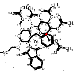 CCO[C@@H]1O[C@H](COC(C)=O)[C@@H](O[C@@H]2O[C@H](COC(C)=O)[C@H](OC(C)=O)[C@H](OC(C)=O)[C@H]2OC(C)=O)[C@@](O)(Cc2ccccc2)[C@H]1N1C(=O)c2ccccc2C1=O